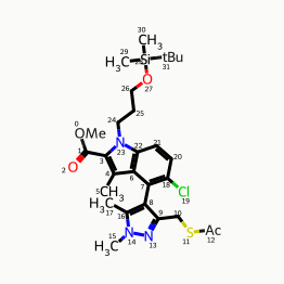 COC(=O)c1c(C)c2c(-c3c(CSC(C)=O)nn(C)c3C)c(Cl)ccc2n1CCCO[Si](C)(C)C(C)(C)C